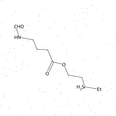 CC[SiH2]CCOC(=O)CCCNC=O